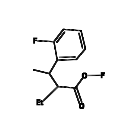 CCC(C(=O)OF)C(C)c1ccccc1F